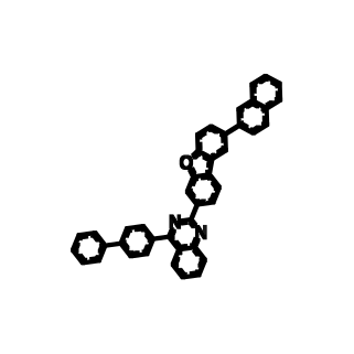 c1ccc(-c2ccc(-c3nc(-c4ccc5c(c4)oc4ccc(-c6ccc7ccccc7c6)cc45)nc4ccccc34)cc2)cc1